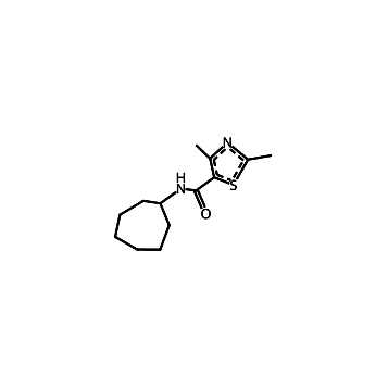 Cc1nc(C)c(C(=O)NC2CCCCCC2)s1